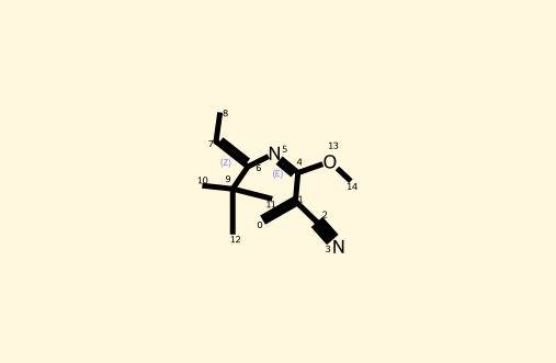 C=C(C#N)/C(=N\C(=C/C)C(C)(C)C)OC